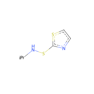 CC(C)NSc1nccs1